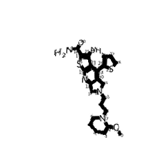 COC1CCCCN1CCCN1Cc2nc3sc(C(N)=O)c(N)c3c(-c3cccs3)c2C1